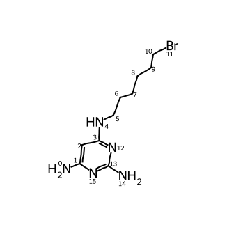 Nc1cc(NCCCCCCBr)nc(N)n1